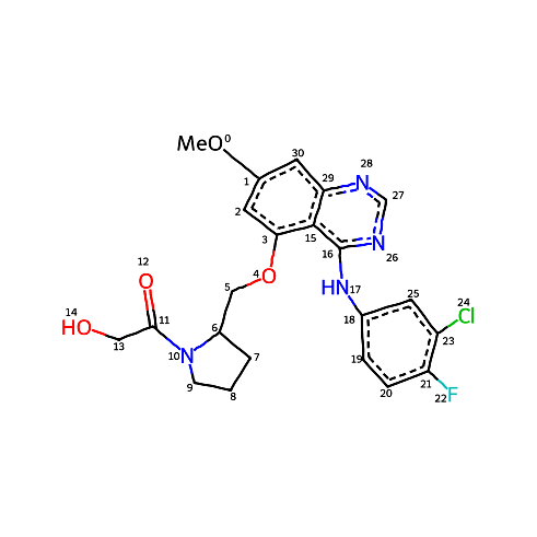 COc1cc(OCC2CCCN2C(=O)CO)c2c(Nc3ccc(F)c(Cl)c3)ncnc2c1